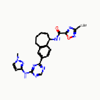 Cn1ccc(Nc2ncnc(-c3ccc4c(c3)CCCCC4NC(=O)c3nc(C(C)(C)C)no3)n2)n1